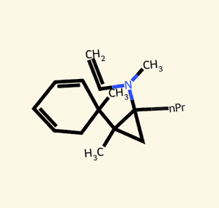 C=CN(C)C1(CCC)CC1(C)C1(C)C=CC=CC1